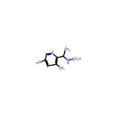 Cc1cc(Br)cnc1C(C)NC(=O)O